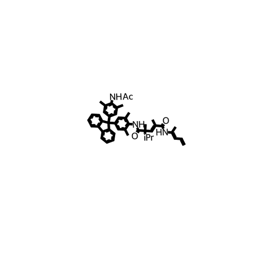 C=C/C=C(\C)NC(=O)/C(C)=C/C(C)(C(=O)Nc1c(C)cc(C2(c3cc(C)c(NC(C)=O)c(C)c3)c3ccccc3-c3ccccc32)cc1C)C(C)C